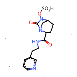 O=C(NCCc1cccnc1)C1CCC2CN1C(=O)N2OS(=O)(=O)O